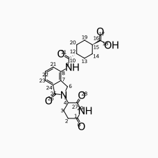 O=C1CCC(N2Cc3c(NC(=O)[C@H]4CC[C@H](C(=O)O)CC4)cccc3C2=O)C(=O)N1